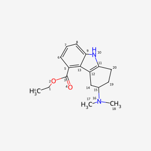 CCOC(=O)c1cccc2[nH]c3c(c12)CC(N(C)C)CC3